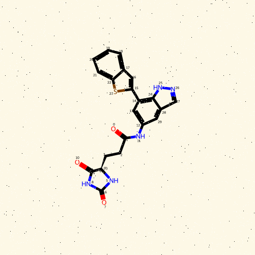 O=C(CC[C@H]1NC(=O)NC1=O)Nc1cc(-c2cc3ccccc3s2)c2[nH]ncc2c1